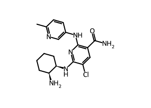 Cc1ccc(Nc2nc(N[C@@H]3CCCC[C@@H]3N)c(Cl)cc2C(N)=O)cn1